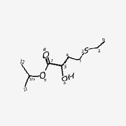 CCSCCC(O)C(=O)OC(C)C